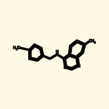 Cc1ccc(CNc2ncnc3cc(C)ccc23)cc1